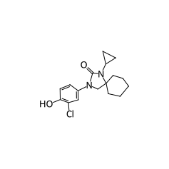 O=C1N(c2ccc(O)c(Cl)c2)CC2(CCCCC2)N1C1CC1